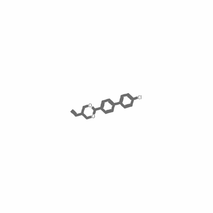 C=CC1COC(c2ccc(-c3ccc(Cl)cc3)cc2)OC1